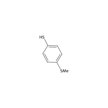 CSc1ccc(S)cc1